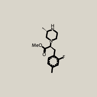 COC(=O)[C@H](Cc1ccc(C)cc1F)N1CCN[C@@H](C)C1